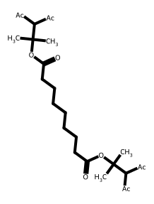 CC(=O)C(C(C)=O)C(C)(C)OC(=O)CCCCCCCC(=O)OC(C)(C)C(C(C)=O)C(C)=O